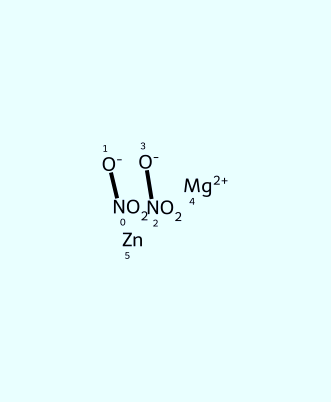 O=[N+]([O-])[O-].O=[N+]([O-])[O-].[Mg+2].[Zn]